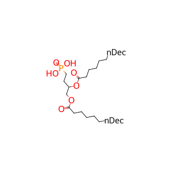 CCCCCCCCCCCCCCCC(=O)OCC(CCP(=O)(O)O)OC(=O)CCCCCCCCCCCCCCC